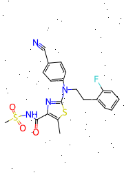 Cc1sc(N(CCc2ccccc2F)c2ccc(C#N)cc2)nc1C(=O)NS(C)(=O)=O